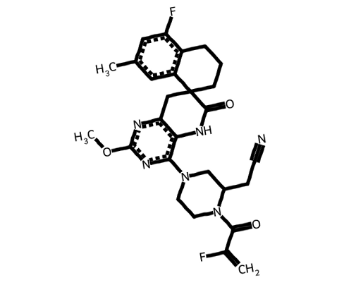 C=C(F)C(=O)N1CCN(c2nc(OC)nc3c2NC(=O)C2(CCCc4c(F)cc(C)cc42)C3)CC1CC#N